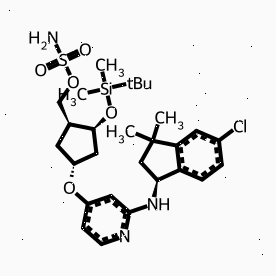 CC1(C)C[C@H](Nc2cc(O[C@@H]3C[C@@H](COS(N)(=O)=O)[C@@H](O[Si](C)(C)C(C)(C)C)C3)ccn2)c2ccc(Cl)cc21